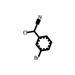 N#CC(Cl)c1cccc(Br)c1